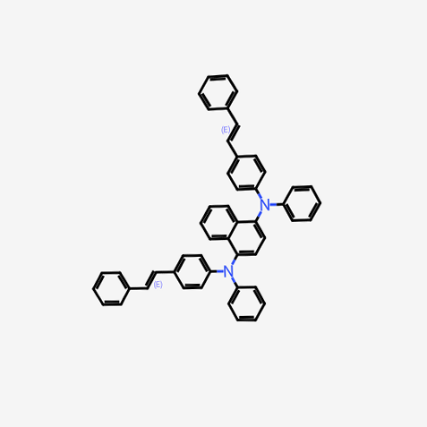 C(=C\c1ccc(N(c2ccccc2)c2ccc(N(c3ccccc3)c3ccc(/C=C/c4ccccc4)cc3)c3ccccc23)cc1)/c1ccccc1